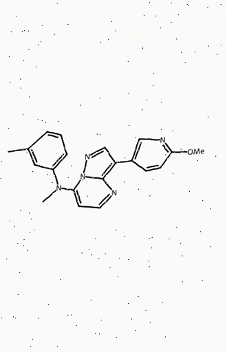 COc1ccc(-c2cnn3c(N(C)c4cccc(C)c4)ccnc23)cn1